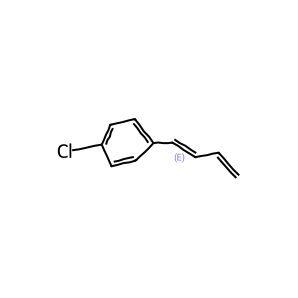 C=C/C=C/c1ccc(Cl)cc1